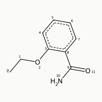 [CH2]COc1ccccc1C(N)=O